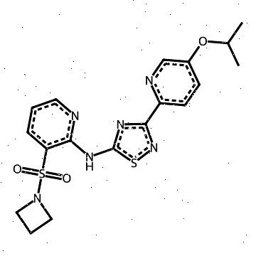 CC(C)Oc1ccc(-c2nsc(Nc3ncccc3S(=O)(=O)N3CCC3)n2)nc1